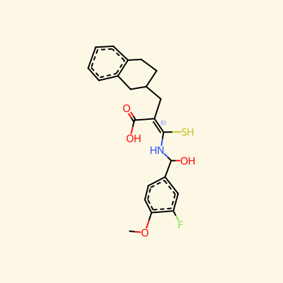 COc1ccc(C(O)N/C(S)=C(/CC2CCc3ccccc3C2)C(=O)O)cc1F